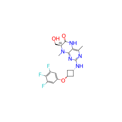 Cc1nc(N[C@H]2C[C@H](Oc3cc(F)c(F)c(F)c3)C2)nc2c1NC(=O)[C@H](CO)N2C